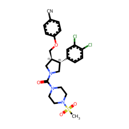 CS(=O)(=O)N1CCN(C(=O)N2C[C@@H](COc3ccc(C#N)cc3)[C@H](c3ccc(Cl)c(Cl)c3)C2)CC1